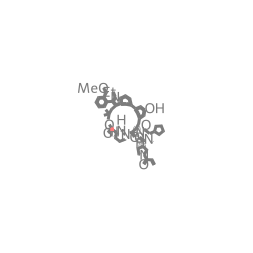 C=CC(=O)N1CC[C@H](C(=O)N(C)C(C(=O)N[C@H]2Cc3cc(O)cc(c3)-c3ccc4c(c3)c(c(-c3ccccc3COC)n4CC)CC(C)(C)COC(=O)[C@@H]3CCCN(N3)C2=O)C2CCCC2)C1